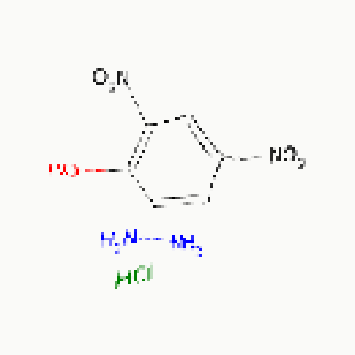 Cl.NN.O=[N+]([O-])c1ccc(O)c([N+](=O)[O-])c1